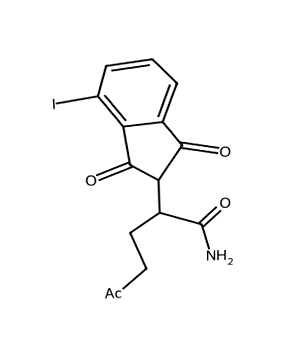 CC(=O)CCC(C(N)=O)C1C(=O)c2cccc(I)c2C1=O